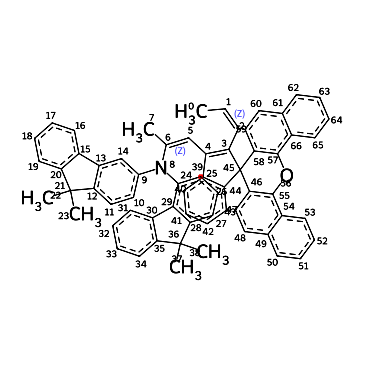 C/C=C\C1=C(/C=C(/C)N(c2ccc3c(c2)-c2ccccc2C3(C)C)c2cccc3c2-c2ccccc2C3(C)C)c2ccccc2C12c1ccc3ccccc3c1Oc1c2ccc2ccccc12